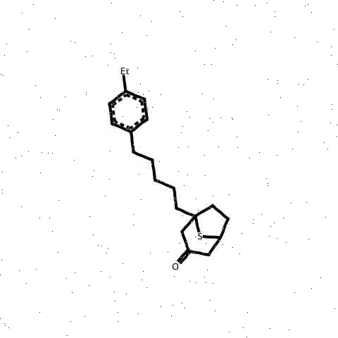 CCc1ccc(CCCCCC23CCC(CC(=O)C2)S3)cc1